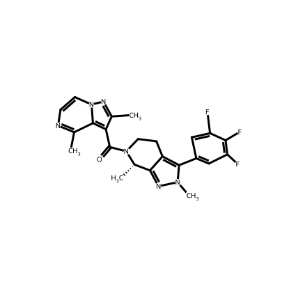 Cc1nn2ccnc(C)c2c1C(=O)N1CCc2c(nn(C)c2-c2cc(F)c(F)c(F)c2)[C@@H]1C